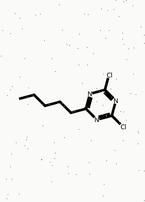 CCCCCc1nc(Cl)nc(Cl)n1